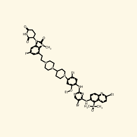 CCOc1cc(N2CCC(N3CCN(CCc4cc(F)cc5c4n(C)c(=O)n5C4CCC(=O)NC4=O)CC3)CC2)c(CC)cc1Nc1ncc(Br)c(Nc2ccc3nc(CC)ccc3c2P(C)(C)=O)n1